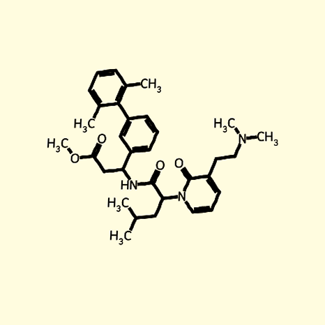 COC(=O)CC(NC(=O)C(CC(C)C)n1cccc(CCN(C)C)c1=O)c1cccc(-c2c(C)cccc2C)c1